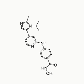 Cc1ncc(-c2ccnc(Nc3ccc(C(=O)NO)cc3)c2)n1C(C)C